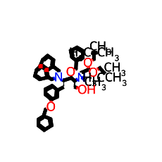 CN(CC(OCC(C)(C)C)OCC(C)(C)C)[C@@H](CO)[C@H](OCc1ccccc1)[C@H](Cc1cccc(OCc2ccccc2)c1)N(Cc1ccccc1)Cc1ccccc1